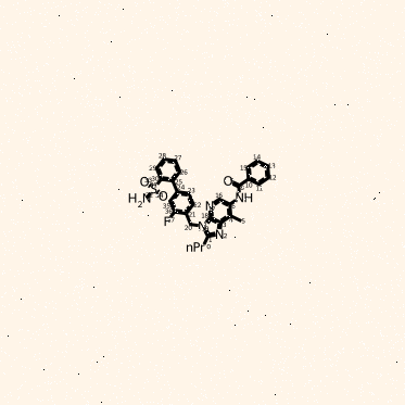 CCCc1nc2c(C)c(NC(=O)c3ccccc3)cnc2n1Cc1ccc(-c2ccccc2S(N)(=O)=O)cc1F